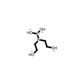 OCCN(CCO)B(O)O